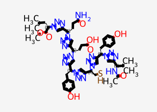 COC(=O)[C@H](CC(C)C)n1cc([C@H](CCC(N)=O)n2cc([C@H](CCC(=O)O)n3cc([C@H](Cc4ccc(O)cc4)n4cc([C@H](CS)n5cc([C@H](Cc6ccc(O)cc6)n6cc([C@@H](NC(C)=O)C(C)C)nn6)nn5)nn4)nn3)nn2)nn1